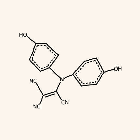 N#CC(C#N)=C(C#N)N(c1ccc(O)cc1)c1ccc(O)cc1